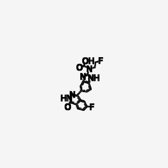 O=C(O)N(CCF)c1nc2cc(-c3n[nH]c(=O)c4ccc(F)cc34)ccc2[nH]1